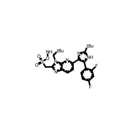 CC(C)(C)Cn1c(CS(=O)(=O)ON)nc2ccc(-c3nc(C(C)(C)C)[nH]c3-c3ccc(F)cc3F)nc21